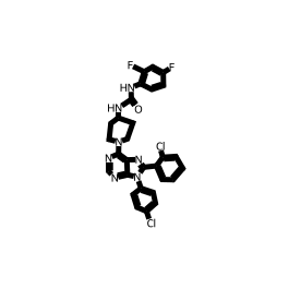 O=C(Nc1ccc(F)cc1F)NC1CCN(c2ncnc3c2nc(-c2ccccc2Cl)n3-c2ccc(Cl)cc2)CC1